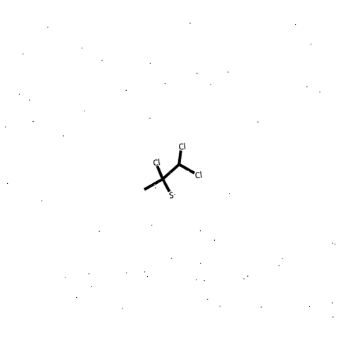 CC([S])(Cl)C(Cl)Cl